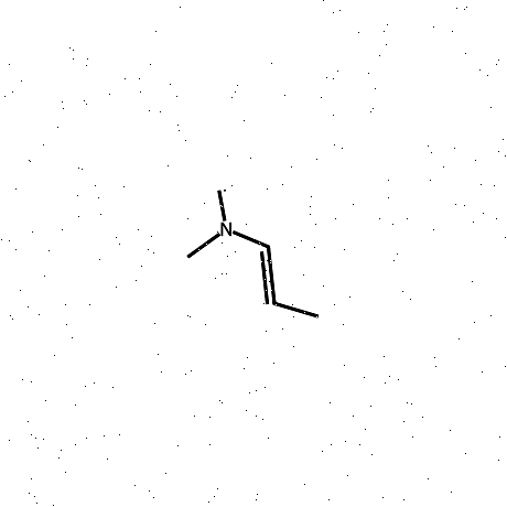 [CH2]N(C)C=CC